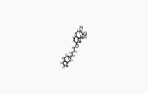 O=C1NCCc2ccc(OCCCCN3CCc4ccsc4C3)nc2N1